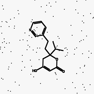 CC(C)C1(CCc2cccnc2)CC(O)=CC(=O)O1